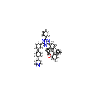 c1ccc(-c2nc(-c3cccc(-c4ccc(-c5ccncc5)cc4)c3)nc(-c3ccc4c(c3)C3(c5ccccc5Oc5ccccc53)c3ccccc3-4)n2)cc1